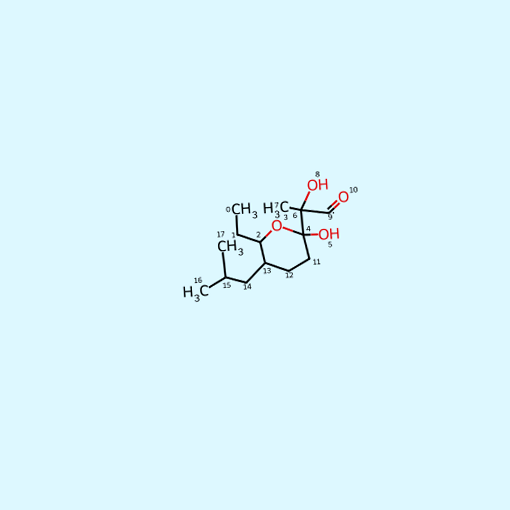 CCC1OC(O)(C(C)(O)[C]=O)CCC1CC(C)C